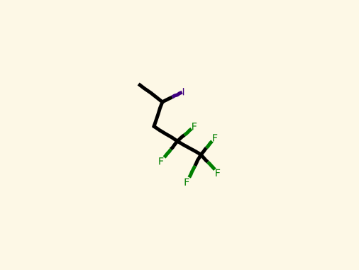 CC(I)CC(F)(F)C(F)(F)F